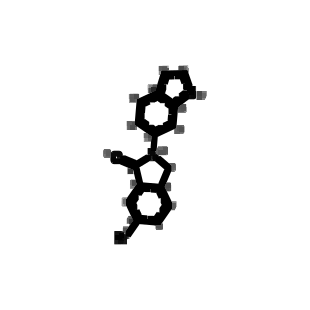 O=C1c2cc(Br)ccc2CN1c1ccc2ccsc2c1